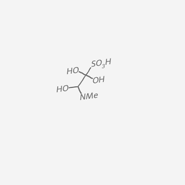 CNC(O)C(O)(O)S(=O)(=O)O